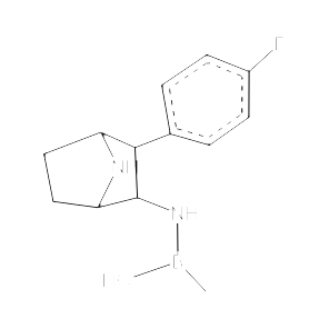 CB(O)NC1C2CCC(N2)C1c1ccc(F)cc1